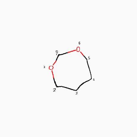 [CH]1OCCCCO1